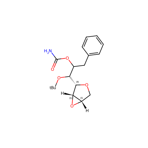 CC(C)(C)OC(C(Cc1ccccc1)OC(N)=O)[C@@H]1OC[C@@H]2O[C@@H]21